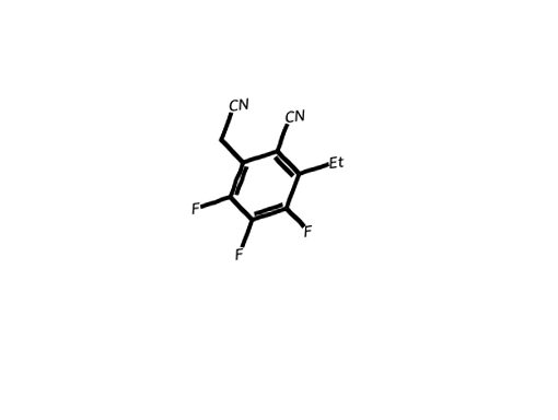 CCc1c(F)c(F)c(F)c(CC#N)c1C#N